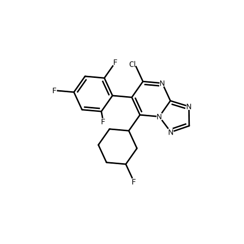 Fc1cc(F)c(-c2c(Cl)nc3ncnn3c2C2CCCC(F)C2)c(F)c1